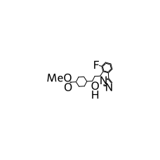 COC(=O)C1CCC(C(O)CC2c3c(F)cccc3-c3cncn32)CC1